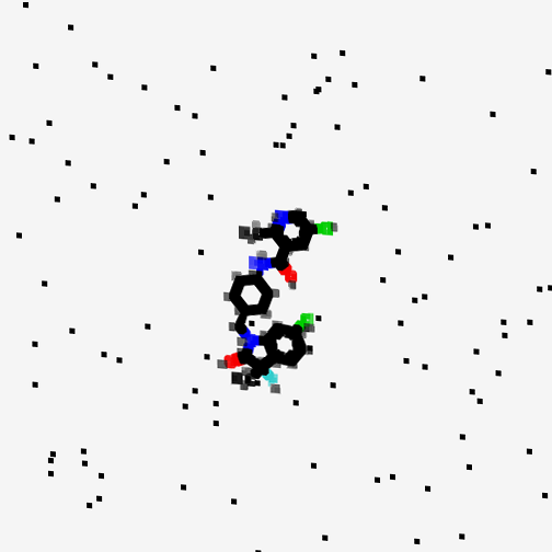 Cc1ncc(Cl)cc1C(=O)N[C@H]1CC[C@H](CN2C(=O)C(C)(F)c3ccc(Cl)cc32)CC1